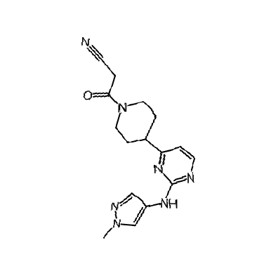 Cn1cc(Nc2nccc(C3CCN(C(=O)CC#N)CC3)n2)cn1